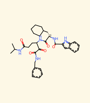 CC(C)NC(=O)CCC(NC(=O)[C@H](CC1CCCCC1)NC(=O)c1cc2ccccc2[nH]1)C(=O)C(=O)NCc1ccccc1